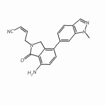 Cn1ncc2ccc(-c3ccc(N)c4c3CN(C/C=C\C#N)C4=O)cc21